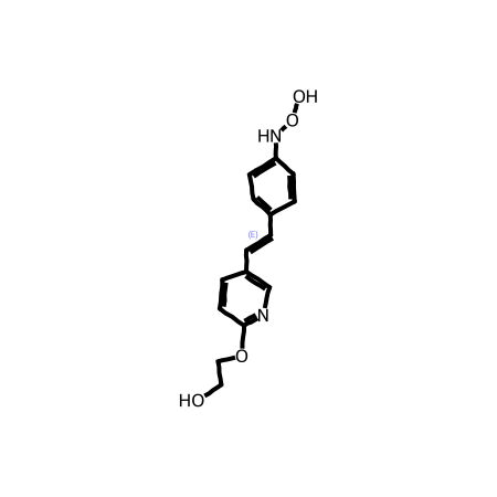 OCCOc1ccc(/C=C/c2ccc(NOO)cc2)cn1